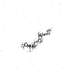 COc1cc2c(Nc3ccc4nc(NC(=O)Nc5cccc(C(F)(F)F)c5)sc4c3)ncnc2cc1OCCCN1CCN(C)CC1